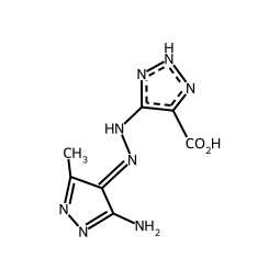 CC1=NN=C(N)/C1=N/Nc1n[nH]nc1C(=O)O